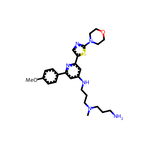 COc1ccc(-c2cc(NCCCN(C)CCCN)cc(-c3cnc(N4CCOCC4)s3)n2)cc1